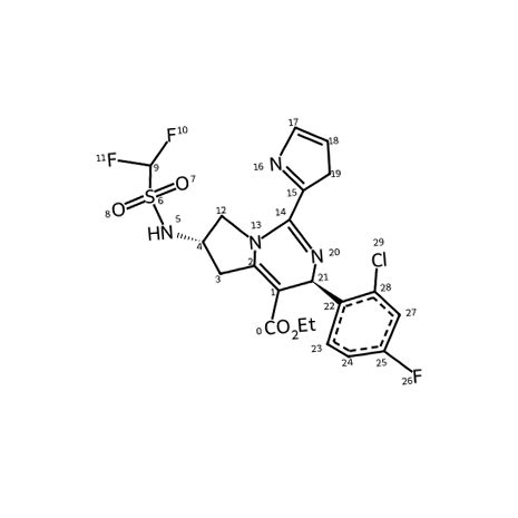 CCOC(=O)C1=C2C[C@H](NS(=O)(=O)C(F)F)CN2C(C2=NC=CC2)=N[C@H]1c1ccc(F)cc1Cl